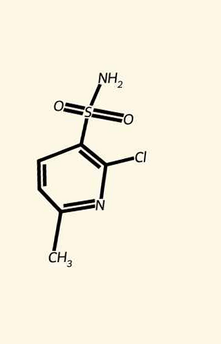 Cc1ccc(S(N)(=O)=O)c(Cl)n1